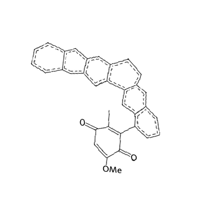 COC1=CC(=O)C(C)=C(c2cccc3cc4ccc5cc6cc7ccccc7cc6cc5c4cc23)C1=O